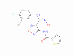 O=C(Nc1nonc1/C(=N\O)Nc1ccc(F)c(Br)c1)c1cccs1